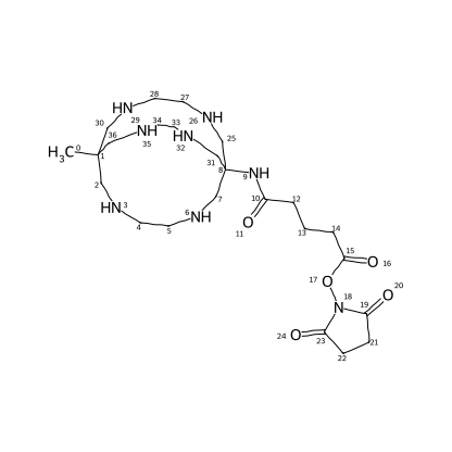 CC12CNCCNCC(NC(=O)CCCC(=O)ON3C(=O)CCC3=O)(CNCCNC1)CNCCNC2